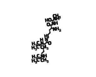 CNC(O)NC(=O)C(N)CCCCNC(=O)C(CCCCNC(C)(C)C)NC(C)(C)C